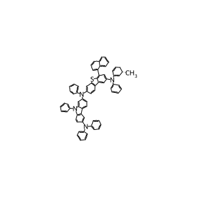 C[C@@H]1C=C(N(c2ccccc2)c2cc(-c3cccc4ccccc34)c3sc4cc(N(c5ccccc5)c5ccc6c7cc(N(c8ccccc8)c8ccccc8)ccc7n(-c7ccccc7)c6c5)ccc4c3c2)C=CC1